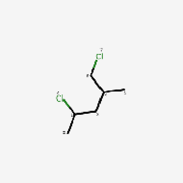 CC(Cl)CC(C)CCl